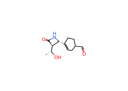 C[C@@H](O)[C@H]1C(=O)N[C@@H]1C1=CCC(C=O)CC1